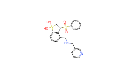 O=S(=O)(c1ccccc1)C1CS(O)(O)c2cccc(CNCc3cccnc3)c21